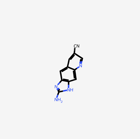 N#Cc1cnc2cc3[nH]c(N)nc3cc2c1